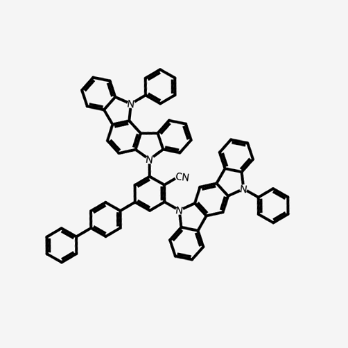 N#Cc1c(-n2c3ccccc3c3cc4c(cc32)c2ccccc2n4-c2ccccc2)cc(-c2ccc(-c3ccccc3)cc2)cc1-n1c2ccccc2c2c1ccc1c3ccccc3n(-c3ccccc3)c12